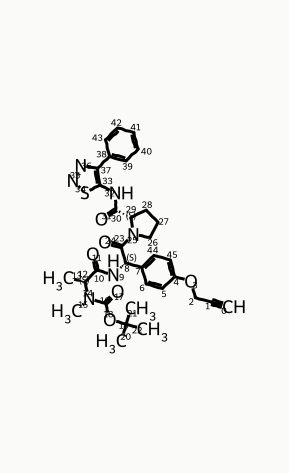 C#CCOc1ccc([C@H](NC(=O)[C@H](C)N(C)C(=O)OC(C)(C)C)C(=O)N2CCC[C@H]2C(=O)Nc2snnc2-c2ccccc2)cc1